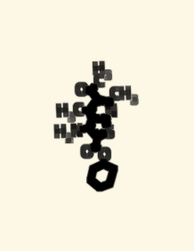 CC(=O)c1c(C)nc2sc(C(=O)OC3CCCCC3)c(N)c2c1C